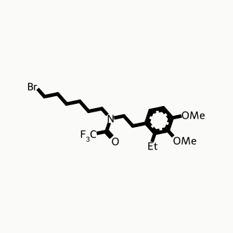 CCc1c(CCN(CCCCCCBr)C(=O)C(F)(F)F)ccc(OC)c1OC